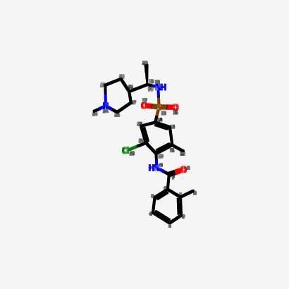 Cc1ccccc1C(=O)Nc1c(C)cc(S(=O)(=O)N[C@H](C)C2CCN(C)CC2)cc1Cl